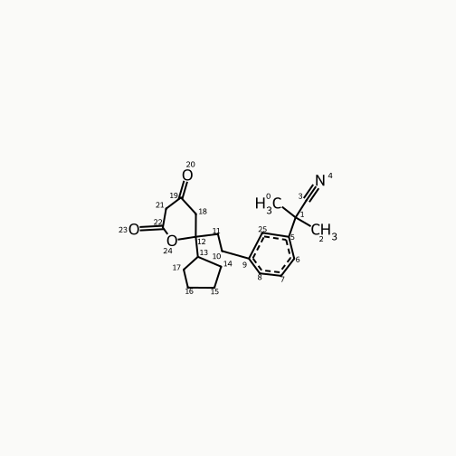 CC(C)(C#N)c1cccc(CCC2(C3CCCC3)CC(=O)CC(=O)O2)c1